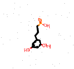 O=[PH](O)CCCc1cc(O)cc(O)c1